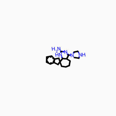 NC1N=C(N2CCNCC2)C2CCCCC3(Cc4ccccc4C3)C2N1